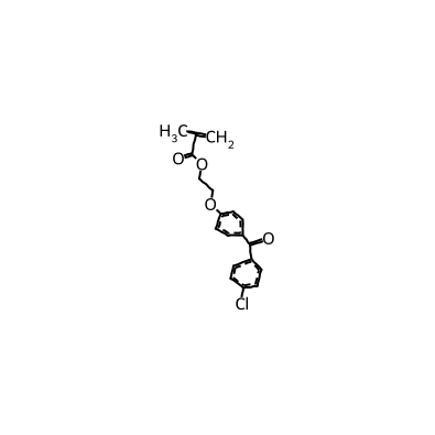 C=C(C)C(=O)OCCOc1ccc(C(=O)c2ccc(Cl)cc2)cc1